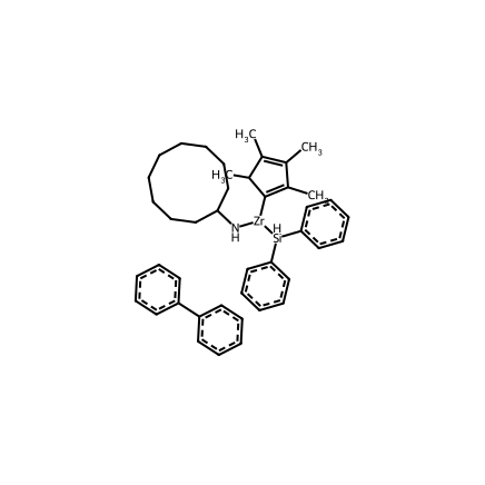 CC1=C(C)C(C)[C]([Zr]([NH]C2CCCCCCCCC2)[SiH](c2ccccc2)c2ccccc2)=C1C.c1ccc(-c2ccccc2)cc1